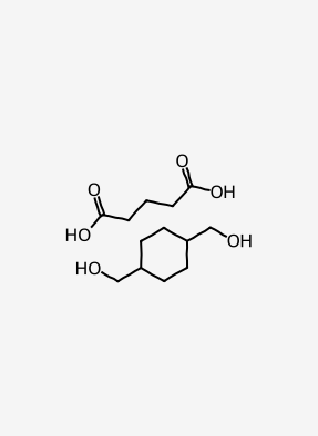 O=C(O)CCCC(=O)O.OCC1CCC(CO)CC1